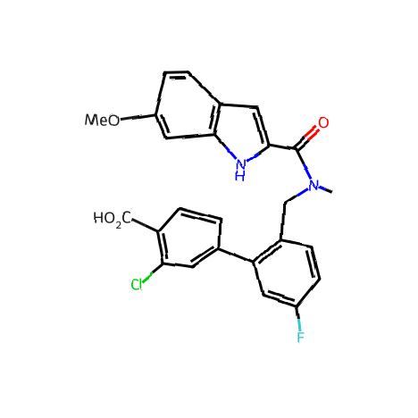 COc1ccc2cc(C(=O)N(C)Cc3ccc(F)cc3-c3ccc(C(=O)O)c(Cl)c3)[nH]c2c1